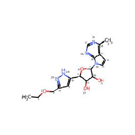 CCOCc1cc(C2OC(n3ccc4c(C)ncnc43)C(O)C2O)[nH]n1